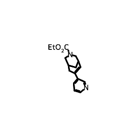 CCOC(=O)N1CC2C=C(c3cccnc3)CC(C2)C1